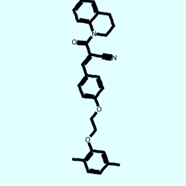 Cc1ccc(C)c(OCCOc2ccc(C=C(C#N)C(=O)N3CCCc4ccccc43)cc2)c1